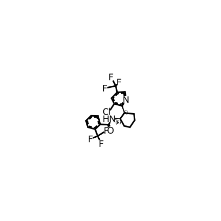 O=C(N[C@@H]1CCCC[C@@H]1c1ncc(C(F)(F)F)cc1Cl)c1ccccc1C(F)(F)F